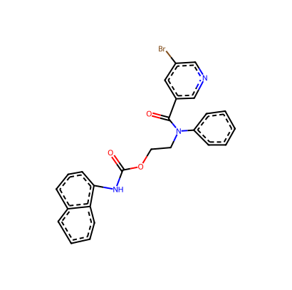 O=C(Nc1cccc2ccccc12)OCCN(C(=O)c1cncc(Br)c1)c1ccccc1